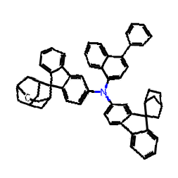 c1ccc(-c2ccc(N(c3ccc4c(c3)-c3ccccc3C43C4CCC5CC(C4)CC3C5)c3ccc4c(c3)C3(CC5CCC3C5)c3ccccc3-4)c3ccccc23)cc1